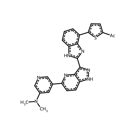 CC(=O)c1ccc(-c2cccc3[nH]c(-c4n[nH]c5ccc(-c6cncc(N(C)C)c6)nc45)nc23)s1